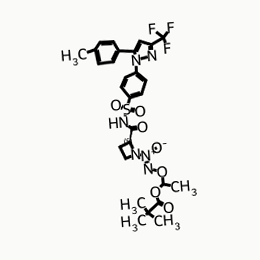 Cc1ccc(-c2cc(C(F)(F)F)nn2-c2ccc(S(=O)(=O)NC(=O)[C@@H]3CCN3[N+]([O-])=NOC(C)OC(=O)C(C)(C)C)cc2)cc1